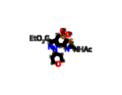 CCOC(=O)c1nn(C2CCOCC2)c2c1CS(=O)(=O)c1sc(NC(C)=O)nc1-2